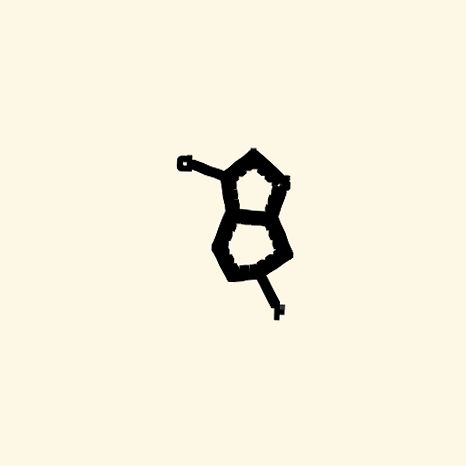 Fc1ccc2c(Cl)[c]sc2c1